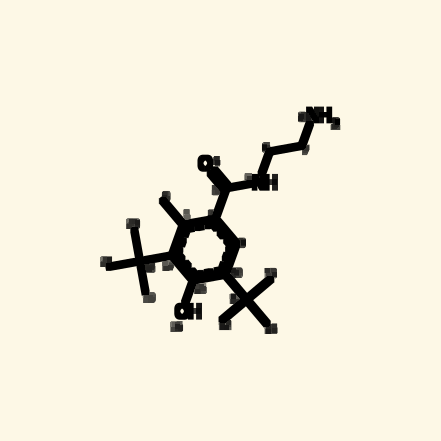 Cc1c(C(=O)NCCN)cc(C(C)(C)C)c(O)c1C(C)(C)C